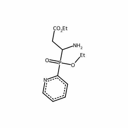 CCOC(=O)CC(N)P(=O)(OCC)c1ccccn1